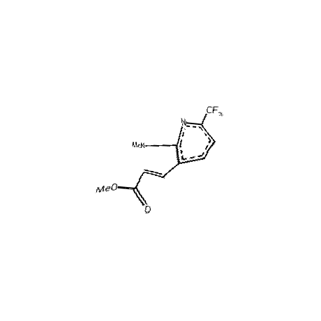 CNc1nc(C(F)(F)F)ccc1/C=C/C(=O)OC